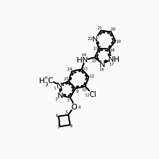 Cn1nc(OC2CCC2)c2c(Cl)cc(Nc3n[nH]c4cccnc34)cc21